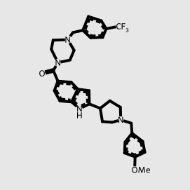 COc1ccc(CN2CCC(c3cc4cc(C(=O)N5CCN(Cc6ccc(C(F)(F)F)cc6)CC5)ccc4[nH]3)CC2)cc1